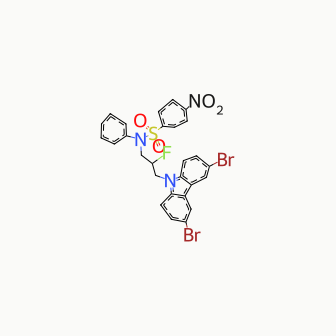 O=[N+]([O-])c1ccc(S(=O)(=O)N(CC(F)Cn2c3ccc(Br)cc3c3cc(Br)ccc32)c2ccccc2)cc1